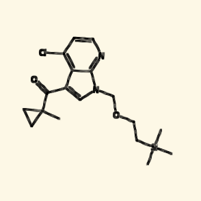 CC1(C(=O)c2cn(COCC[Si](C)(C)C)c3nccc(Cl)c23)CC1